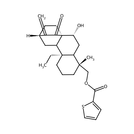 C=C1C(=O)[C@]23CC[C@H]1CC2[C@]1(CC)CCC[C@@](C)(COC(=O)c2cccs2)C1C[C@H]3O